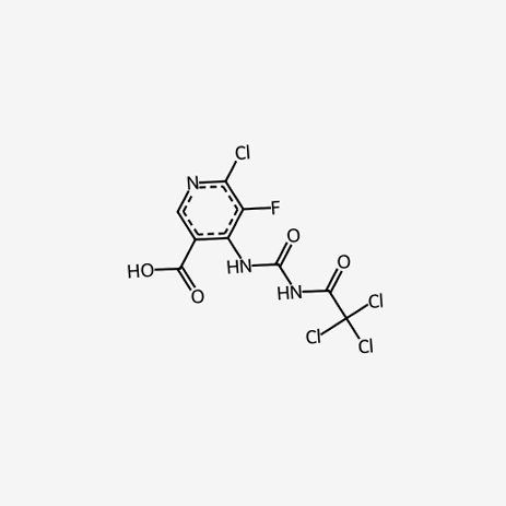 O=C(NC(=O)C(Cl)(Cl)Cl)Nc1c(C(=O)O)cnc(Cl)c1F